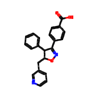 O=C(O)c1ccc(C2=NOC(Cc3cccnc3)C2c2ccccc2)cc1